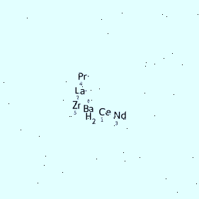 [BaH2].[Ce].[La].[Nd].[Pr].[Zr]